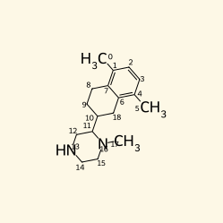 Cc1ccc(C)c2c1CCC(C1CNCCN1C)C2